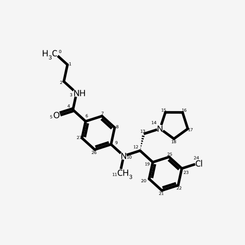 CCCNC(=O)c1ccc(N(C)[C@H](CN2CCCC2)c2cccc(Cl)c2)cc1